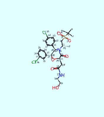 C[C@@H](CS(=O)(=O)C(C)(C)C)N1C(=O)[C@@H](CC(=O)NCCO)O[C@H](c2cccc(Cl)c2)[C@H]1c1ccc(Cl)cc1